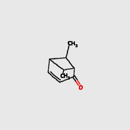 CC1C2C=CC(=O)C1C2C